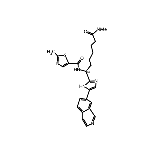 CNC(=O)CCCCC[C@H](NC(=O)c1cnc(C)s1)c1ncc(-c2ccc3ccncc3c2)[nH]1